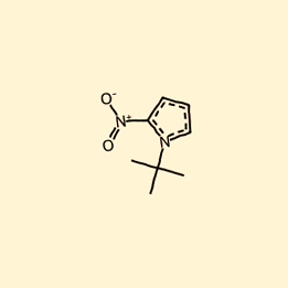 CC(C)(C)n1cccc1[N+](=O)[O-]